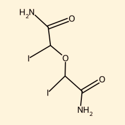 NC(=O)C(I)OC(I)C(N)=O